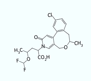 CC1Cc2ccc(Cl)cc2-c2cc(=O)n(C(CC(C)OC(F)F)C(=O)O)cc2CO1